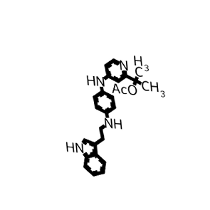 CC(=O)OC(C)(C)c1cc(Nc2ccc(NCCc3c[nH]c4ccccc34)cc2)ccn1